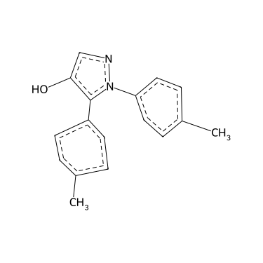 Cc1ccc(-c2c(O)cnn2-c2ccc(C)cc2)cc1